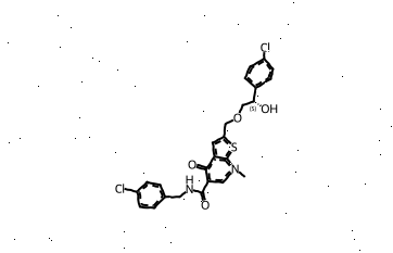 Cn1cc(C(=O)NCc2ccc(Cl)cc2)c(=O)c2cc(COC[C@@H](O)c3ccc(Cl)cc3)sc21